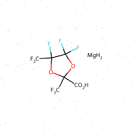 O=C(O)C1(C(F)(F)F)OC(F)(F)C(F)(C(F)(F)F)O1.[MgH2]